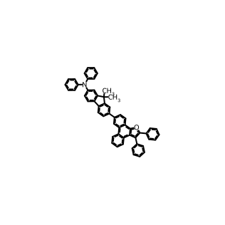 CC1(C)c2cc(-c3ccc4c(c3)c3ccccc3c3c(-c5ccccc5)c(-c5ccccc5)oc43)ccc2-c2ccc(N(c3ccccc3)c3ccccc3)cc21